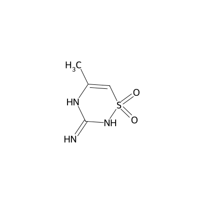 CC1=CS(=O)(=O)NC(=N)N1